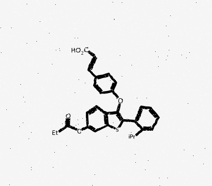 CCC(=O)Oc1ccc2c(Oc3ccc(C=CC(=O)O)cc3)c(-c3ccccc3C(C)C)sc2c1